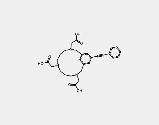 O=C(O)CN1CCCN(CC(=O)O)Cc2cc(C#Cc3ccccc3)cc(n2)CN(CC(=O)O)CCC1